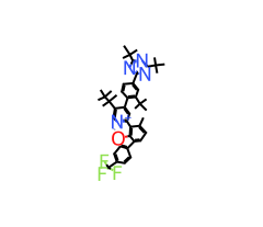 Cc1ccc2c(oc3cc(C(F)(F)F)ccc32)c1-c1cc(-c2ccc(-c3nc(C(C)(C)C)nc(C(C)(C)C)n3)cc2C(C)(C)C)c(C(C)(C)C(C)(C)C)c[n+]1C